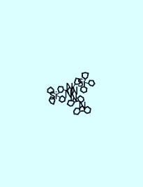 c1ccc([Si](c2ccccc2)(c2ccccc2)c2cccc(-c3nc(-c4cccc([Si](c5ccccc5)(c5ccccc5)c5ccccc5)c4)nc(-n4c5ccccc5c5c(-n6c7ccccc7c7ccccc76)cccc54)n3)c2)cc1